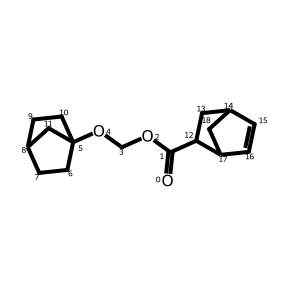 O=C(OCOC12CCC(CC1)C2)C1CC2C=CC1C2